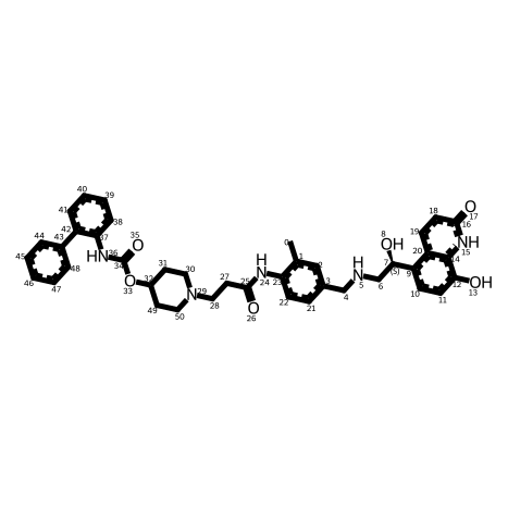 Cc1cc(CNC[C@@H](O)c2ccc(O)c3[nH]c(=O)ccc23)ccc1NC(=O)CCN1CCC(OC(=O)Nc2ccccc2-c2ccccc2)CC1